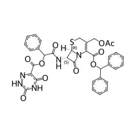 CC(=O)OCC1=C(C(=O)OC(c2ccccc2)c2ccccc2)N2C(=O)[C@H](NC(=O)C(OC(=O)c3n[nH]c(=O)[nH]c3=O)c3ccccc3)[C@H]2SC1